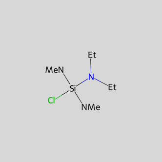 CCN(CC)[Si](Cl)(NC)NC